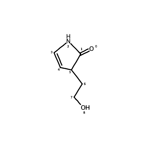 O=C1NC=CC1CCO